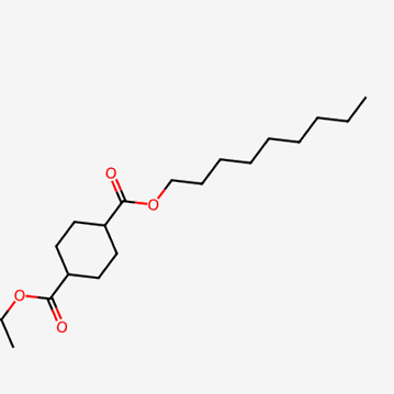 CCCCCCCCCOC(=O)C1CCC(C(=O)OC(C)C)CC1